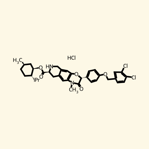 CC(C)[C@@H]1CC[C@@H](C)C[C@H]1OC(=O)[C@@H]1Cc2cc3c(cc2CN1)O[C@H](c1ccc(OCc2ccc(Cl)c(Cl)c2)cc1)C(=O)N3C.Cl